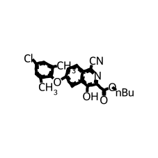 CCCCOC(=O)c1nc(C#N)c2ccc(Oc3c(C)cc(Cl)cc3C)cc2c1O